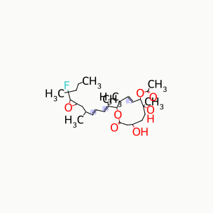 CCCC(C)(F)C1OC1CC(C)/C=C/C=C(\C)C1OC(=O)CC(O)CCC(C)(O)C(OC(C)=O)/C=C/C1C